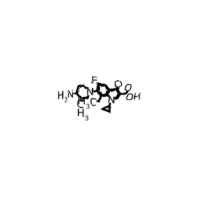 CCc1c(N2CC[C@H](N)[C@@H](C)C2)c(F)cc2c(=O)c(C(=O)O)cn(C3CC3)c12